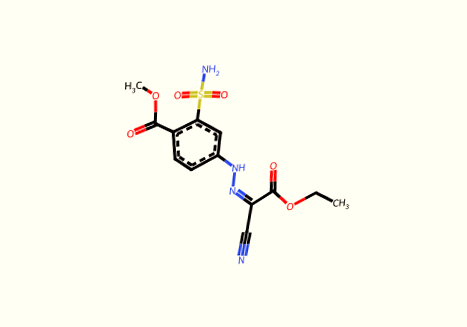 CCOC(=O)C(C#N)=NNc1ccc(C(=O)OC)c(S(N)(=O)=O)c1